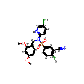 COc1ccc(CN(c2ccc(F)cn2)S(=O)(=O)c2ccc(F)c(C#N)c2)c(OC)c1